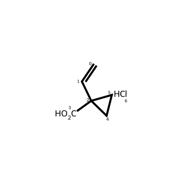 C=CC1(C(=O)O)CC1.Cl